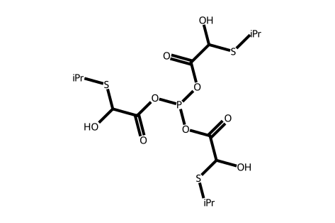 CC(C)SC(O)C(=O)OP(OC(=O)C(O)SC(C)C)OC(=O)C(O)SC(C)C